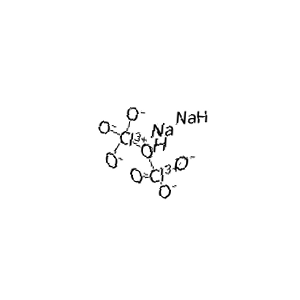 [NaH].[NaH].[O-][Cl+3]([O-])([O-])O[Cl+3]([O-])([O-])[O-]